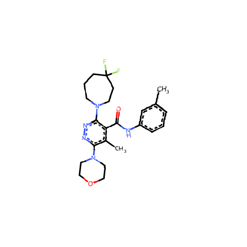 Cc1cccc(NC(=O)c2c(N3CCCC(F)(F)CC3)nnc(N3CCOCC3)c2C)c1